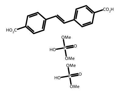 COP(=O)(O)OC.COP(=O)(O)OC.O=C(O)c1ccc(C=Cc2ccc(C(=O)O)cc2)cc1